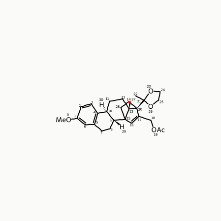 COc1ccc2c(c1)CC[C@@H]1[C@@H]2CC[C@@]2(C)C13C=C(COC(C)=O)[C@@]2(C1(C)OCCO1)CC3